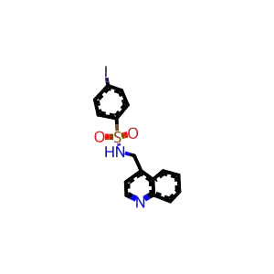 O=S(=O)(NCc1ccnc2ccccc12)c1ccc(I)cc1